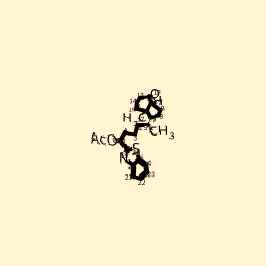 CC(=O)OC(CCCC(C)[C@H]1CC[C@H]2C(=O)CCC[C@]12C)c1nc2ccccc2s1